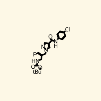 CC(C)(C)OC(=O)NCC(=CF)Cn1cc(C(=O)Nc2ccc(Cl)cc2)cn1